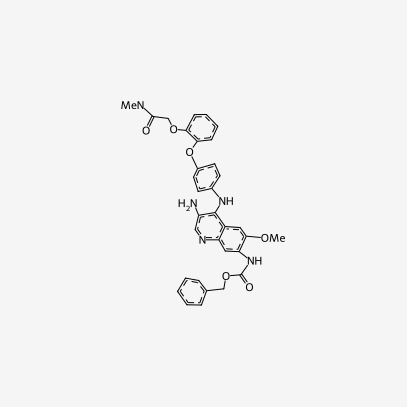 CNC(=O)COc1ccccc1Oc1ccc(Nc2c(N)cnc3cc(NC(=O)OCc4ccccc4)c(OC)cc23)cc1